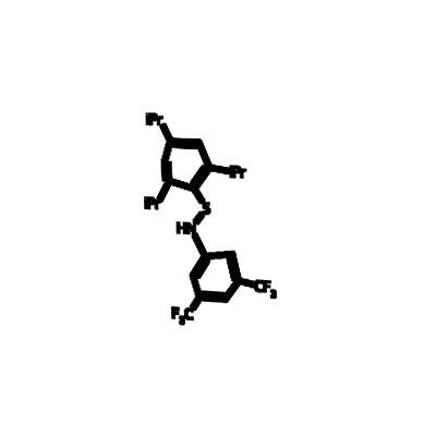 CC(C)c1cc(C(C)C)c(SNc2cc(C(F)(F)F)cc(C(F)(F)F)c2)c(C(C)C)c1